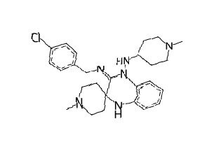 CN1CCC(NN2/C(=N/Cc3ccc(Cl)cc3)C3(CCN(C)CC3)Nc3ccccc32)CC1